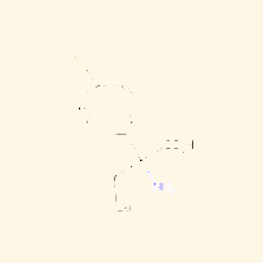 CC(C)(C)CC(N)(C(=O)O)c1ccc(Br)cc1